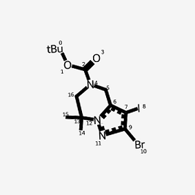 CC(C)(C)OC(=O)N1Cc2c(I)c(Br)nn2C(C)(C)C1